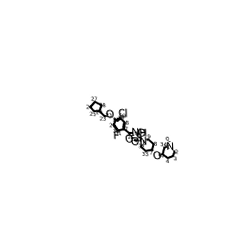 CN1CCCC(OC2CCN(S(=O)(=O)NC(=O)c3cc(Cl)c(OCC4CCCC4)cc3F)CC2)C1